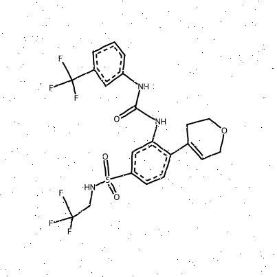 O=C(Nc1cccc(C(F)(F)F)c1)Nc1cc(S(=O)(=O)NCC(F)(F)F)ccc1C1=CCOCC1